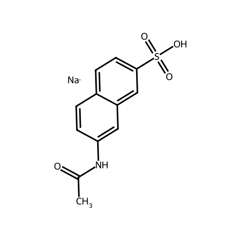 CC(=O)Nc1ccc2ccc(S(=O)(=O)O)cc2c1.[Na]